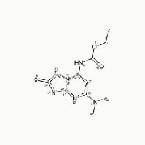 CCOC(=O)Nc1cc(N(C)C)nc2nc(=O)on12